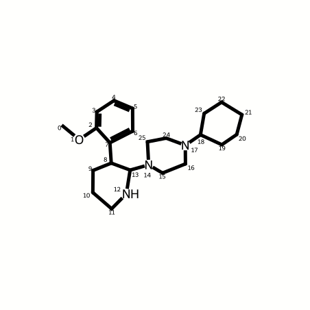 COc1ccccc1C1CCCNC1N1CCN(C2CCCCC2)CC1